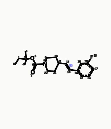 CCC(C)(C)OC(=O)N1CCC(/C=C/c2cccc(F)c2)CC1